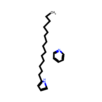 CCCCCCCCCCCCCCc1ccc[nH]1.c1ccncc1